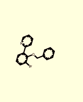 Brc1cccc(-c2ccccn2)c1OCc1ccccc1